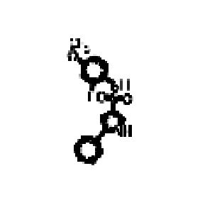 O=S(=O)(Nc1ccc(OC(F)(F)F)cc1F)c1c[nH]c(-c2ccccc2)c1